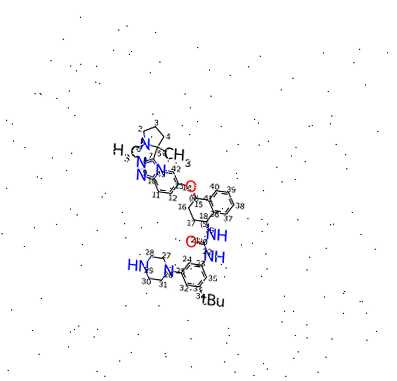 CN1CCCC1(C)c1nnc2ccc(O[C@@H]3CC[C@H](NC(=O)Nc4cc(N5CCNCC5)cc(C(C)(C)C)c4)c4ccccc43)cn12